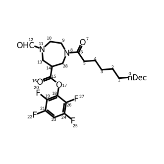 CCCCCCCCCCCCCCCC(=O)N1CCN(C=O)CC(C(=O)Oc2c(F)c(F)cc(F)c2F)C1